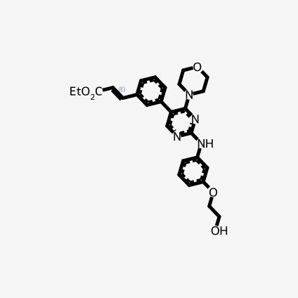 CCOC(=O)/C=C/c1cccc(-c2cnc(Nc3cccc(OCCO)c3)nc2N2CCOCC2)c1